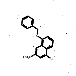 CCOC(=O)c1cc(O)c2cccc(OCc3ccccc3)c2c1